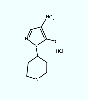 Cl.O=[N+]([O-])c1cnn(C2CCNCC2)c1Cl